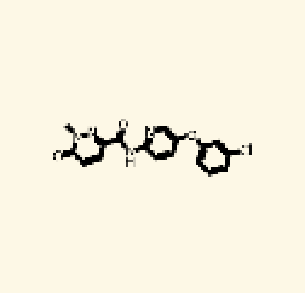 Cn1nc(C(=O)Nc2ccc(Oc3cccc(Cl)c3)cn2)ccc1=O